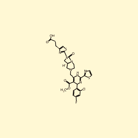 COC(=O)C1=C(CN2CCN3C(=O)N(c4nc(CCC(=O)O)cs4)C[C@@H]3C2)NC(c2nccs2)=NC1c1ccc(F)cc1Cl